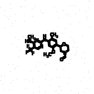 CNc1nc(Nc2cc(OC)c(C3CN(C=O)CCO3)cc2C)ncc1C(F)(F)F